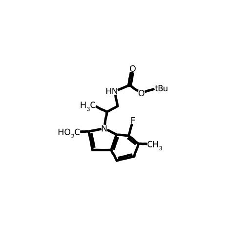 Cc1ccc2cc(C(=O)O)n(C(C)CNC(=O)OC(C)(C)C)c2c1F